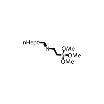 CCCCCCC/C=N/CC[Si](OC)(OC)OC